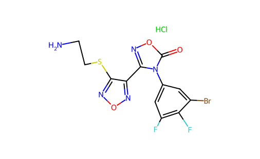 Cl.NCCSc1nonc1-c1noc(=O)n1-c1cc(F)c(F)c(Br)c1